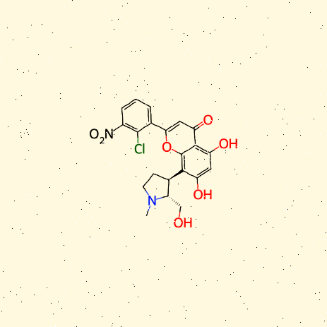 CN1CC[C@@H](c2c(O)cc(O)c3c(=O)cc(-c4cccc([N+](=O)[O-])c4Cl)oc23)[C@@H]1CO